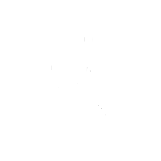 Cc1cc(P)cnc1OCc1c(C2CC2)cccc1[N+](=O)[O-]